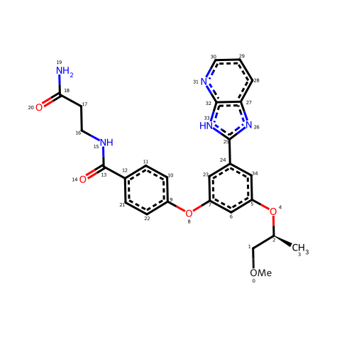 COC[C@H](C)Oc1cc(Oc2ccc(C(=O)NCCC(N)=O)cc2)cc(-c2nc3cccnc3[nH]2)c1